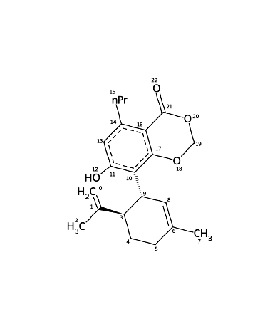 C=C(C)[C@@H]1CCC(C)=C[C@H]1c1c(O)cc(CCC)c2c1OCOC2=O